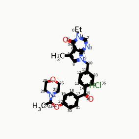 CCn1cnc2c(c(C)cn2Cc2ccc(C(=O)c3ccc(OC(C)N4CCOCC4)cc3)cc2)c1=O.Cl